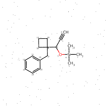 C#CC(O[Si](C)(C)C)C1(Cc2ccccc2)CCC1